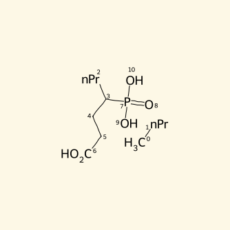 CCCC.CCCC(CCC(=O)O)P(=O)(O)O